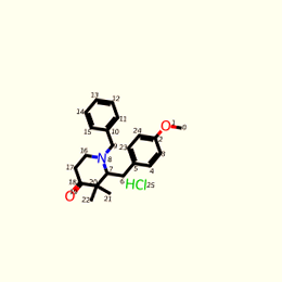 COc1ccc(CC2N(Cc3ccccc3)CCC(=O)C2(C)C)cc1.Cl